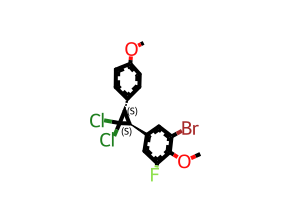 COc1ccc([C@@H]2[C@@H](c3cc(F)c(OC)c(Br)c3)C2(Cl)Cl)cc1